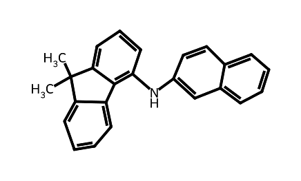 CC1(C)c2ccccc2-c2c(Nc3ccc4ccccc4c3)cccc21